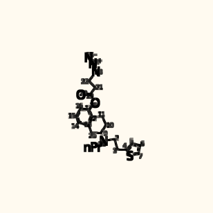 CCCN(CCc1cccs1)[C@H]1CCc2c(cccc2OC(=O)CCN=[N+]=[N-])C1